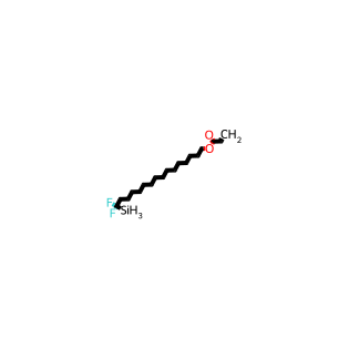 C=CC(=O)OCCCCCCCCCCCCCCCC(F)(F)[SiH3]